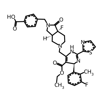 CCOC(=O)C1=C(CN2CC[C@]3(F)C(=O)N(Cc4ccc(C(=O)O)cc4)C[C@@H]3C2)NC(c2nccs2)=N[C@H]1c1cccc(F)c1C